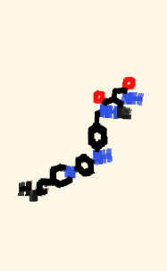 CCC1NC(=O)CC1C(=O)NCc1ccc(Nc2ccc(N3CCC(C)CC3)cc2)cc1